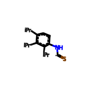 CC(C)c1ccc(N[C]=S)c(C(C)C)c1C(C)C